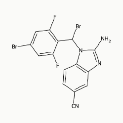 N#Cc1ccc2c(c1)nc(N)n2C(Br)c1c(F)cc(Br)cc1F